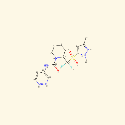 Cc1cc(S(=O)(=O)C(F)(F)C2CCCCN2C(=O)Nc2ccnnc2)n(C)n1